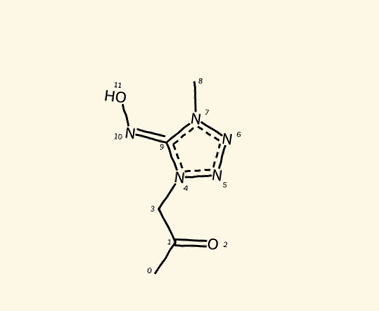 CC(=O)Cn1nnn(C)c1=NO